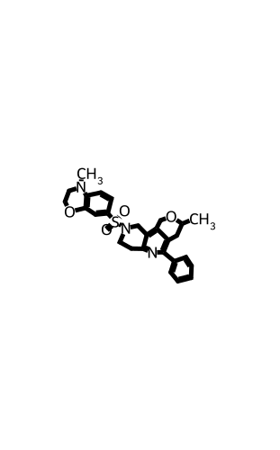 CC1Cc2c(-c3ccccc3)nc3c(c2CO1)CN(S(=O)(=O)c1ccc2c(c1)OCCN2C)CC3